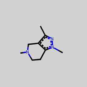 Cc1nn(C)c2c1CN(C)CC2